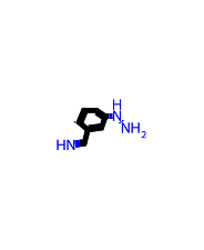 N=Cc1[c]ccc(NN)c1